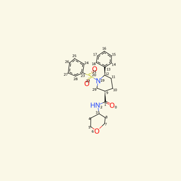 O=C(NC1CCOCC1)[C@@H]1CC[C@H](c2ccccc2)N(S(=O)(=O)c2ccccc2)C1